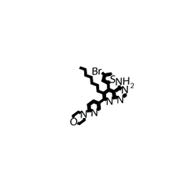 CCCCCCCc1c(-c2ccc(N3CCOCC3)nc2)nc2ncnc(N)c2c1-c1cc(Br)cs1